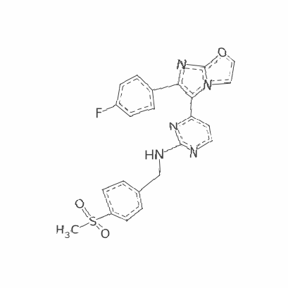 CS(=O)(=O)c1ccc(CNc2nccc(-c3c(-c4ccc(F)cc4)nc4occn34)n2)cc1